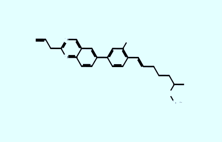 C=CCc1ncc2cc(-c3ccc(C=CCCCC(C)OCCCCC)c(F)c3)ccc2n1